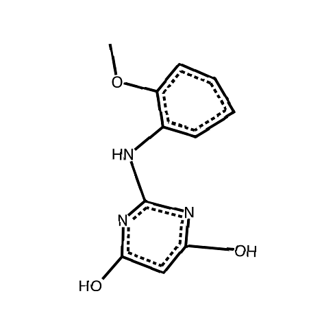 COc1ccccc1Nc1nc(O)cc(O)n1